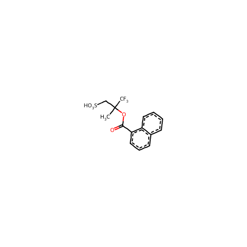 CC(CS(=O)(=O)O)(OC(=O)c1cccc2ccccc12)C(F)(F)F